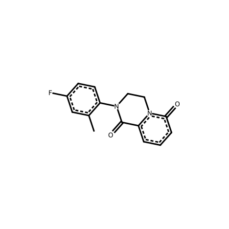 Cc1cc(F)ccc1N1CCn2c(cccc2=O)C1=O